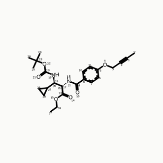 CC#CCOc1ccc(C(=O)N[C@H](C(=O)OCC)[C@H](NC(=O)OC(C)(C)C)C2CC2)cc1